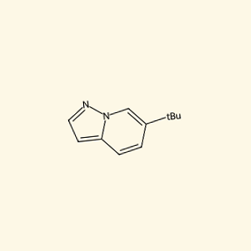 CC(C)(C)c1ccc2ccnn2c1